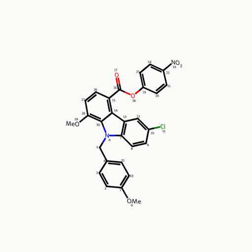 COc1ccc(Cn2c3ccc(Cl)cc3c3c(C(=O)Oc4ccc([N+](=O)[O-])cc4)ccc(OC)c32)cc1